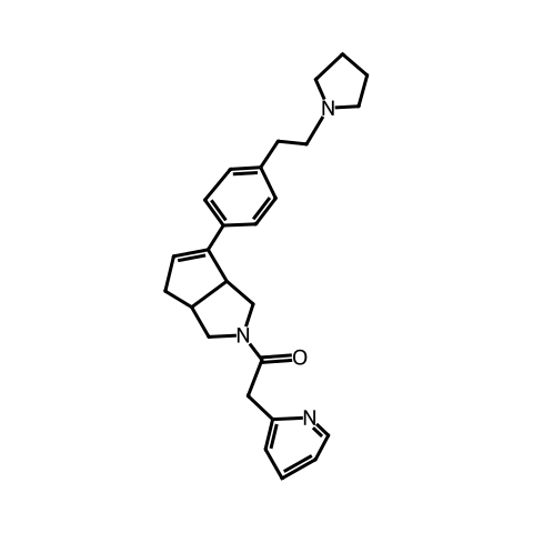 O=C(Cc1ccccn1)N1CC2CC=C(c3ccc(CCN4CCCC4)cc3)C2C1